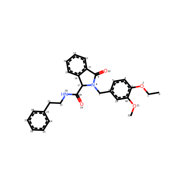 CCOc1ccc(CN2C(=O)c3ccccc3C2C(=O)NCCc2ccccc2)cc1OC